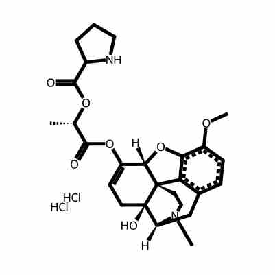 COc1ccc2c3c1O[C@H]1C(OC(=O)[C@H](C)OC(=O)C4CCCN4)=CC[C@@]4(O)[C@@H](C2)N(C)CC[C@]314.Cl.Cl